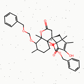 CC1=C(O)C(=O)C(O)([C@@]2(C)CC(=O)OC3(C)C(OCOCc4ccccc4)C(C)CCC32OCOCc2ccccc2)C1(C)C